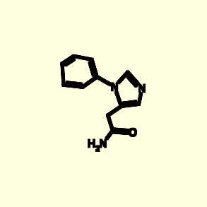 NC(=O)Cc1cncn1-c1ccccc1